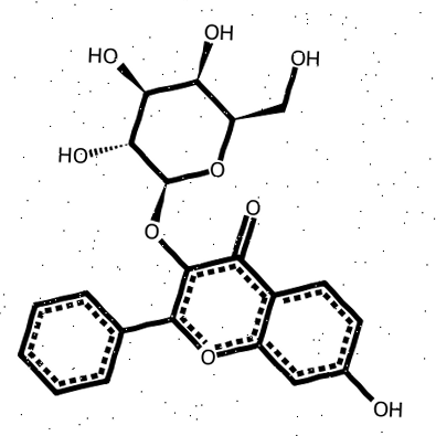 O=c1c(O[C@@H]2O[C@H](CO)[C@H](O)[C@H](O)[C@H]2O)c(-c2ccccc2)oc2cc(O)ccc12